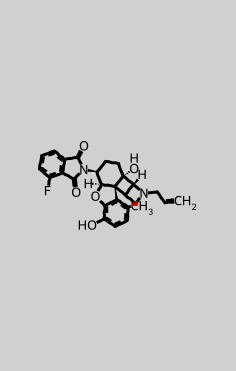 C=CCN1CC2[C@@H]1[C@]1(O)CC[C@H](N3C(=O)c4cccc(F)c4C3=O)[C@@H]3Oc4c(O)ccc(C)c4[C@@]231